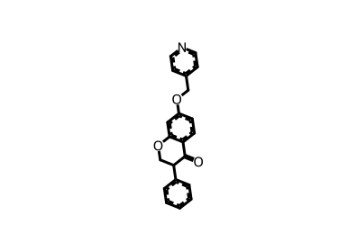 O=C1c2ccc(OCc3ccncc3)cc2OCC1c1ccccc1